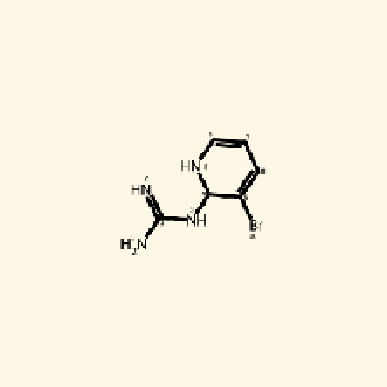 N=C(N)NC1NC=CC=C1Br